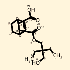 CCC(CC)(CO)COC(=O)C1C2C=CC(CC2)C1C(=O)O